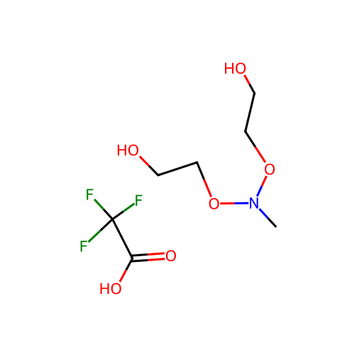 CN(OCCO)OCCO.O=C(O)C(F)(F)F